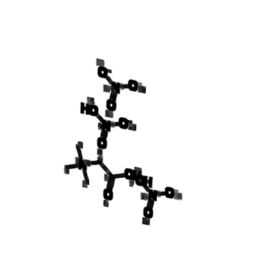 C[N+](C)(C)CC(=O)O.O=[N+]([O-])O.O=[N+]([O-])O.O=[N+]([O-])[O-]